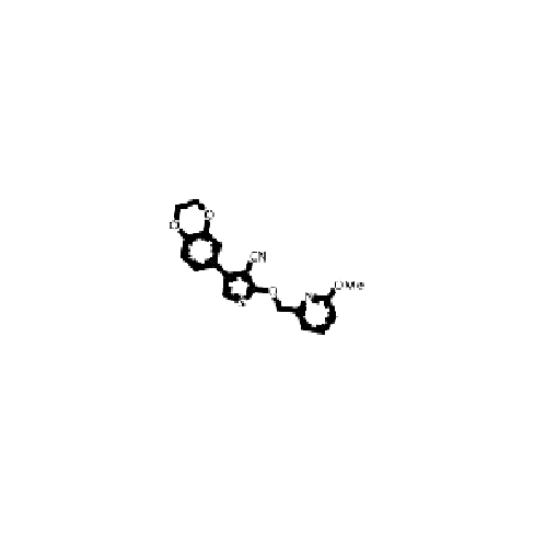 COc1cccc(COc2scc(-c3ccc4c(c3)OCCO4)c2C#N)n1